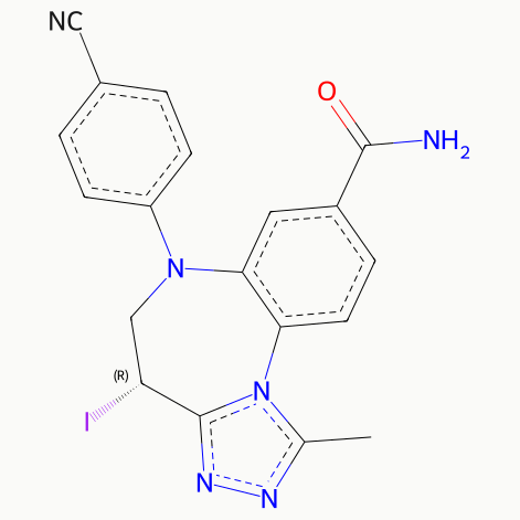 Cc1nnc2n1-c1ccc(C(N)=O)cc1N(c1ccc(C#N)cc1)C[C@H]2I